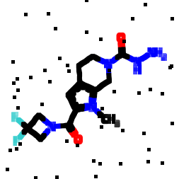 Cn1c(C(=O)N2CC(F)(F)C2)cc2c1CN(C(=O)NN)CC2